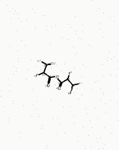 O=C(OC(=O)C(F)C(F)F)C(F)C(F)F